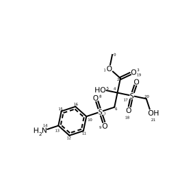 COC(=O)C(O)(CS(=O)(=O)c1ccc(N)cc1)S(=O)(=O)CO